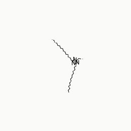 [CH2]Cc1nc(CCCCCCCCCCCCCCC)nc(CCCCCCCCCCCCCCC)n1